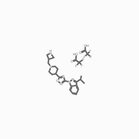 CC(C)c1nn(-c2noc(C3CCN(CC4CNC4)CC3)n2)c2ccccc12.O=C(O)C(F)(F)F.O=C(O)C(F)(F)F